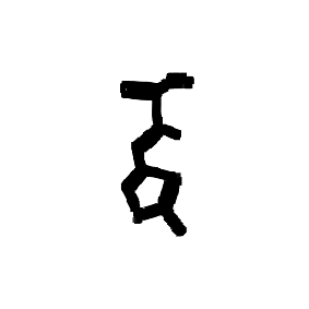 CSC(=O)/C(C)=C/c1csc(C)n1